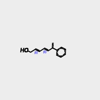 C=C(/C=C/C=C/CO)c1ccccc1